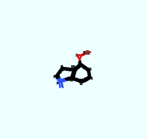 BrOc1cccc2[nH]ccc12